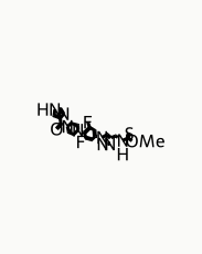 COC(=S)NCc1cn(-c2cc(F)c(N3CCN(C(=O)c4c[nH]cn4)CC3)c(F)c2)nn1